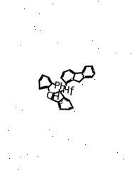 Cc1ccccc1P[C]1([Hf][c]2cccc3c2Cc2ccccc2-3)C=Cc2ccccc21